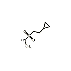 CNS(=O)(=O)CCC1CC1